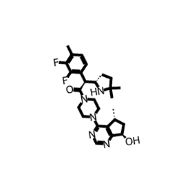 Cc1ccc([C@H](C(=O)N2CCN(c3ncnc4c3[C@H](C)C[C@H]4O)CC2)[C@@H]2CCC(C)(C)N2)c(F)c1F